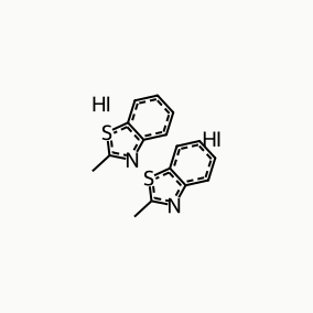 Cc1nc2ccccc2s1.Cc1nc2ccccc2s1.I.I